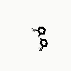 Brc1[c]c(Sc2ccccc2Br)ccc1